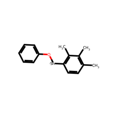 Cc1cc[c]([Sn][O]c2ccccc2)c(C)c1C